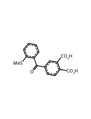 CSc1ccccc1C(=O)c1ccc(C(=O)O)c(C(=O)O)c1